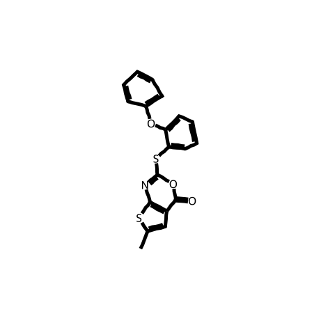 Cc1cc2c(=O)oc(Sc3ccccc3Oc3ccccc3)nc2s1